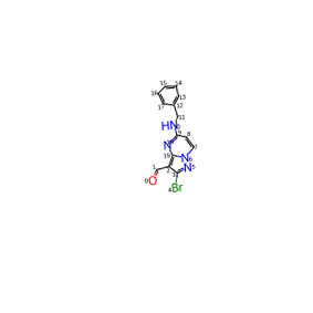 O=Cc1c(Br)nn2ccc(NCc3ccccc3)nc12